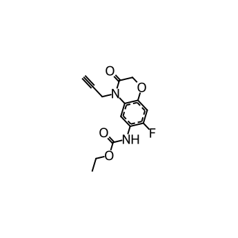 C#CCN1C(=O)COc2cc(F)c(NC(=O)OCC)cc21